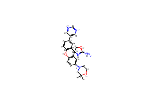 CC1(C)CN(c2ccc3c(c2)[C@]2(COC(N)=N2)c2cc(-c4cncnc4)ccc2O3)CCO1